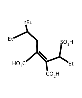 CCCCC(CC)C/C(C(=O)O)=C(/C(=O)O)C(CC)S(=O)(=O)O